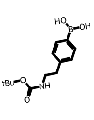 CC(C)(C)OC(=O)NCCc1ccc(B(O)O)cc1